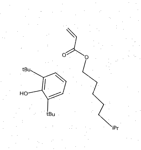 C=CC(=O)OCCCCCC(C)C.CC(C)(C)c1cccc(C(C)(C)C)c1O